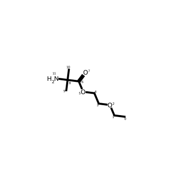 CCOCCOC(=O)C(C)(C)N